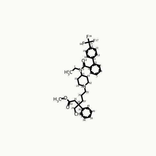 CCN(C(=O)c1ccccc1-c1ccc(C(F)(F)F)cc1)C1CCN(CCCC(CC)(CC(=O)OC)c2ccccc2)CC1